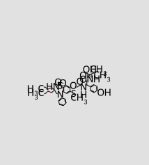 CCCCC1(CCCC)CN(c2ccccc2)c2cc(SC)c(OCC(=O)NC(C(=O)N[C@H](C(=O)O)C(C)C)c3ccc(O)cc3)cc2S(=O)(=O)N1